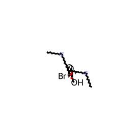 CCCCCCCC/C=C\CCCCCCCC(=O)CC(C[N+](C)(C)CCCCO)C(=O)CCCCCCC/C=C\CCCCCCCC.[Br-]